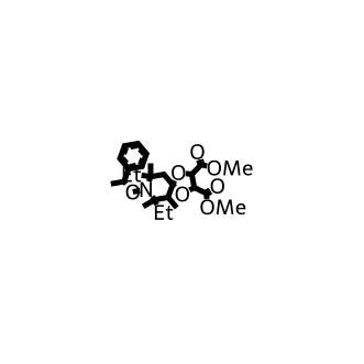 CCC1(C)CC2(OC(C(=O)OC)C(C(=O)OC)O2)C(C)C(C)(CC)N1OC(C)c1ccccc1